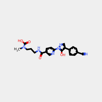 CN(CCCNC(=O)c1ccc(-n2ncc(-c3ccc(C#N)cc3)c2O)nc1)C(=O)O